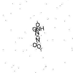 Cc1ccc(NC(=O)N2CCC3(CCN(Cc4ccccc4OCC(C)C)CC3)CC2)cc1